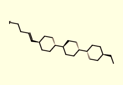 CC[C@H]1CC[C@H]([C@H]2CC[C@H]([C@H]3CC[C@H](C=CCCF)CC3)CC2)CC1